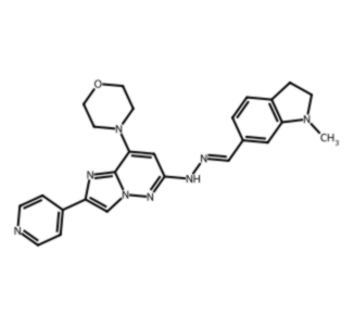 CN1CCc2ccc(/C=N/Nc3cc(N4CCOCC4)c4nc(-c5ccncc5)cn4n3)cc21